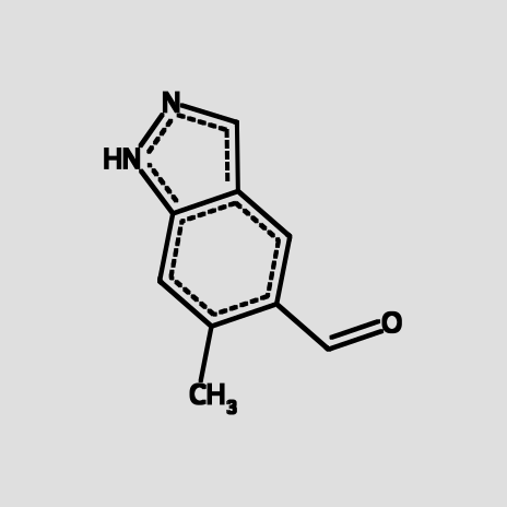 Cc1cc2[nH]ncc2cc1C=O